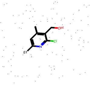 CCc1cc(C)c(CO)c(Cl)n1